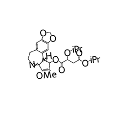 COC1=CC23CCCN2CCc2cc4c(cc2[C@@H]3C1OC(=O)C(CC(=O)OC(C)C)OC(C)C)OCO4